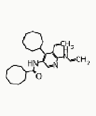 C=CNc1ncc(NC(=O)C2CCCCCCC2)c(C2CCCCCCC2)c1C=C